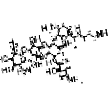 NCCCNCC1=CC[C@@H](N)[C@@H](O[C@H]2[C@H](O[C@@H]3O[C@H](CO)[C@@H](O[C@H]4O[C@@H](CN)[C@@H](O)[C@H](O)[C@H]4N)[C@H]3O)[C@@H](O)[C@H](NC(=O)C3(O)CC(N)C3)C[C@@H]2N)O1